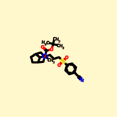 CN(C(=O)OC(C)(C)C)C1C2CCC1CN(CCCS(=O)(=O)c1ccc(C#N)cc1)C2